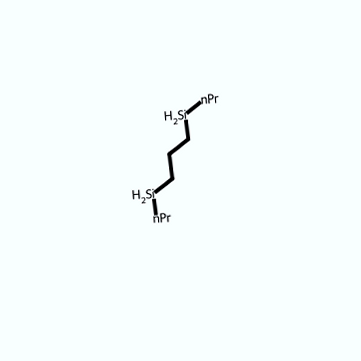 CCC[SiH2]CCC[SiH2]CCC